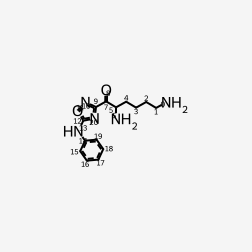 NCCCCC(N)C(=O)c1noc(Nc2ccccc2)n1